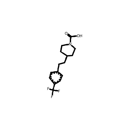 O=C(O)N1CCC(CCc2ccc(C(F)(F)F)cc2)CC1